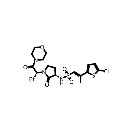 CC[C@@H](C(=O)N1CCOCC1)N1CC[C@H](NS(=O)(=O)/C=C(\C)c2ccc(Cl)s2)C1=O